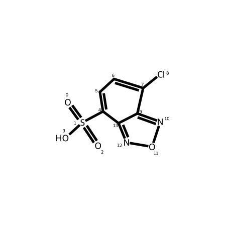 O=S(=O)(O)c1ccc(Cl)c2nonc12